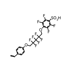 C=Cc1ccc(OCC(F)(F)C(F)(F)C(F)(F)COc2c(F)c(F)c(S(=O)(=O)O)c(F)c2F)cc1